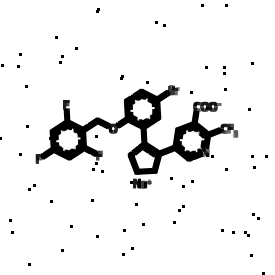 O=C([O-])c1cc(C2=C(c3cc(Br)ccc3OCc3c(F)cc(F)cc3F)CCC2)cnc1C(F)(F)F.[Na+]